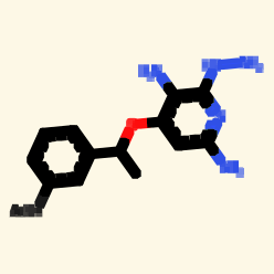 CC(=O)Nc1cccc(C(C)Oc2cc(N)nc(NN)c2N)c1